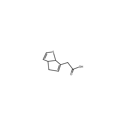 O=C(O)CC1=CCC2C=CSC12